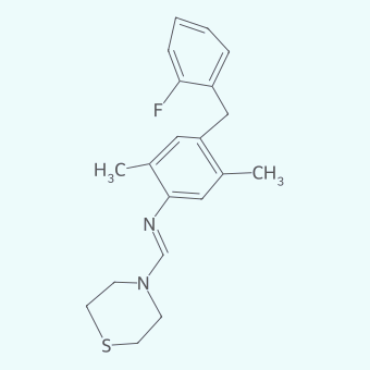 Cc1cc(N=CN2CCSCC2)c(C)cc1Cc1ccccc1F